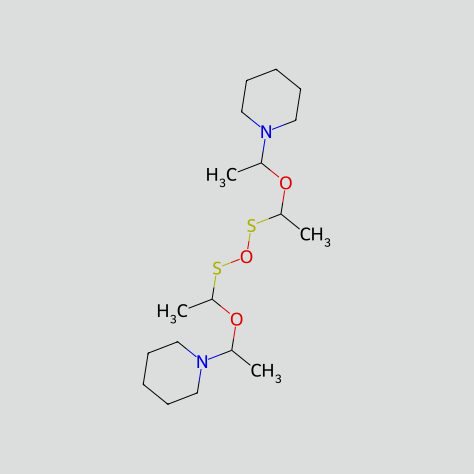 CC(OC(C)N1CCCCC1)SOSC(C)OC(C)N1CCCCC1